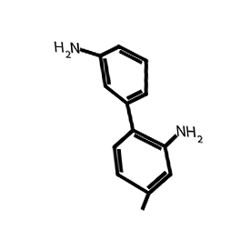 Cc1ccc(-c2cccc(N)c2)c(N)c1